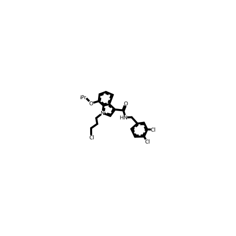 CC(C)Oc1cccc2c(C(=O)NCc3ccc(Cl)c(Cl)c3)cn(CCCCl)c12